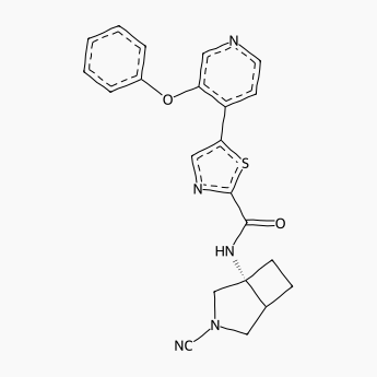 N#CN1CC2CC[C@]2(NC(=O)c2ncc(-c3ccncc3Oc3ccccc3)s2)C1